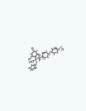 OC(Cn1cnnn1)(c1ccc(F)cc1F)C(F)(F)c1ccc(-c2ccc(CI)nc2)cn1